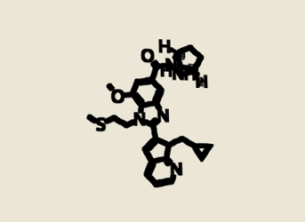 COc1cc(C(=O)N2C[C@H]3CC[C@@H]2[C@@H]3N)cc2nc(C3=Cc4cccnc4C3CC3CC3)n(CCSC)c12